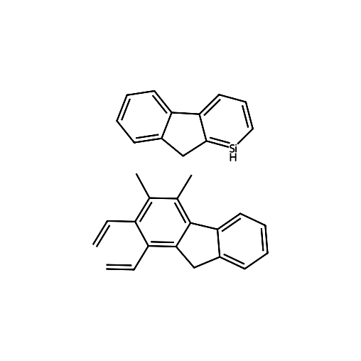 C=Cc1c(C)c(C)c2c(c1C=C)Cc1ccccc1-2.c1ccc2c(c1)Cc1[siH]cccc1-2